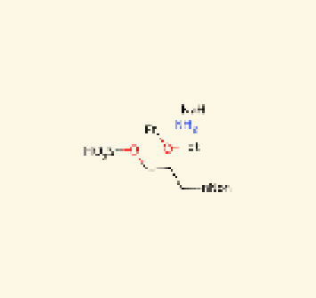 CCCCCCCCCCCCOS(=O)(=O)O.CCOCC.N.[NaH]